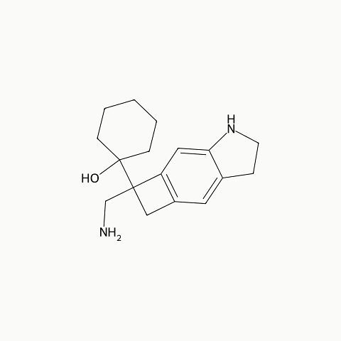 NCC1(C2(O)CCCCC2)Cc2cc3c(cc21)NCC3